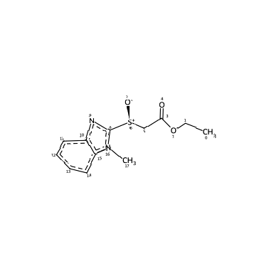 CCOC(=O)C[S@+]([O-])c1nc2ccccc2n1C